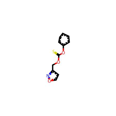 S=C(OCc1ccon1)Oc1ccccc1